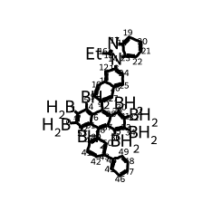 Bc1c(B)c(B)c2c(-c3ccc4cc(-n5c(CC)nc6ccccc65)ccc4c3)c3c(B)c(B)c(B)c(B)c3c(-c3cccc(-c4ccccc4)c3)c2c1B